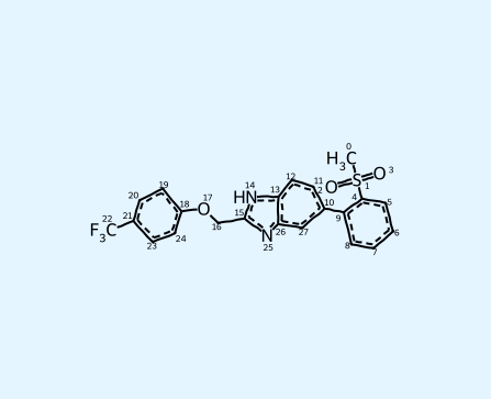 CS(=O)(=O)c1ccccc1-c1ccc2[nH]c(COc3ccc(C(F)(F)F)cc3)nc2c1